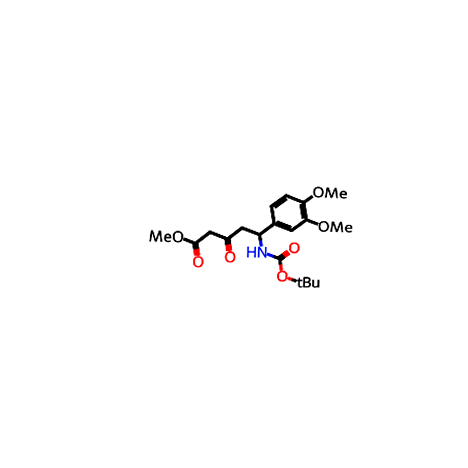 COC(=O)CC(=O)CC(NC(=O)OC(C)(C)C)c1ccc(OC)c(OC)c1